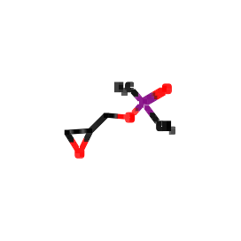 CP(C)(=O)OCC1CO1